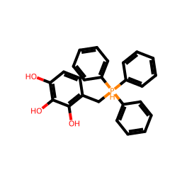 Oc1ccc(C[PH](c2ccccc2)(c2ccccc2)c2ccccc2)c(O)c1O